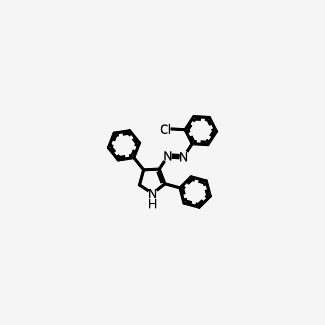 Clc1ccccc1N=NC1=C(c2ccccc2)NCC1c1ccccc1